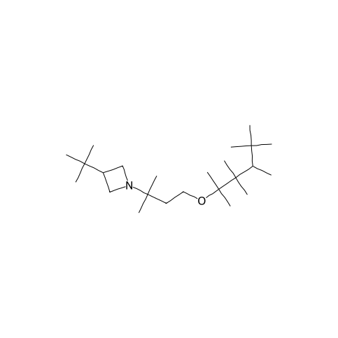 CC(C(C)(C)C)C(C)(C)C(C)(C)OCCC(C)(C)N1CC(C(C)(C)C)C1